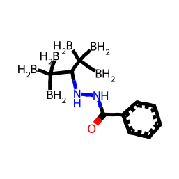 BC(B)(B)C(NNC(=O)c1ccccc1)C(B)(B)B